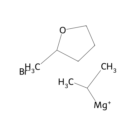 CC1CCCO1.C[CH](C)[Mg+].[Br-]